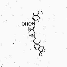 Cc1cc(N(C=O)/C=C(/CNCCc2ccc3c(c2C)COC3=O)N(C)C)ncc1C#N